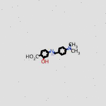 CN(C)c1ccc(/C=N/c2ccc(C(=O)O)c(O)c2)cc1